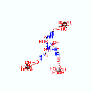 O=C(CC[PH](=O)CN1CCN(CP(=O)(O)CCC(=O)NCc2cn(CCOCCOCCO[C@@H]3O[C@H](CO)[C@@H](O)[C@H](O)[C@H]3O)nn2)CCN(CP(=O)(O)CCC(=O)NCc2cn(CCOCCOCCO[C@@H]3O[C@H](CO)[C@@H](O)[C@H](O)[C@H]3O)nn2)CC1)NCc1cn(CCOCCOCCO[C@@H]2O[C@H](CO)[C@@H](O)[C@H](O)[C@H]2O)nn1